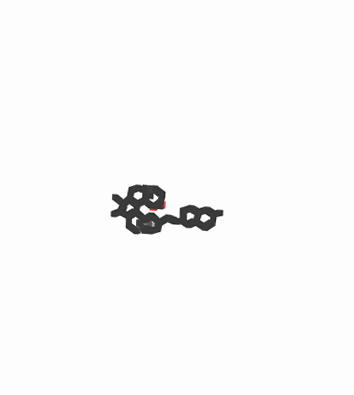 Cc1ccc2cc(/C=C/c3cc[n+]4c(c3)-c3c(c(C)c(C)c5c3-c3c6ccccc6cc[n+]3CC5)CC4)ccc2c1